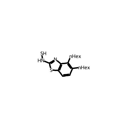 CCCCCCc1ccc2sc(NS)nc2c1CCCCCC